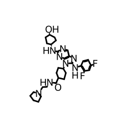 O=C(NCCN1CCCCC1)C1CCC(n2c(Nc3ccc(F)cc3F)nc3cnc(N[C@H]4CC[C@H](O)CC4)nc32)CC1